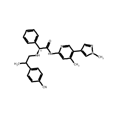 Cc1cc(NC(=O)[C@@H](NCC(C)c2ccc(C#N)cc2)c2ccccc2)ncc1-c1cnn(C)c1